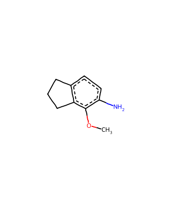 COc1c(N)ccc2c1CCC2